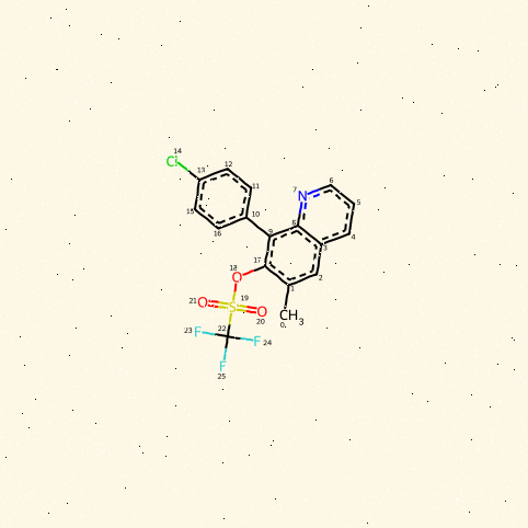 Cc1cc2cccnc2c(-c2ccc(Cl)cc2)c1OS(=O)(=O)C(F)(F)F